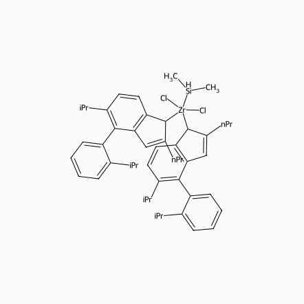 CCCC1=Cc2c(ccc(C(C)C)c2-c2ccccc2C(C)C)[CH]1[Zr]([Cl])([Cl])([CH]1C(CCC)=Cc2c1ccc(C(C)C)c2-c1ccccc1C(C)C)[SiH](C)C